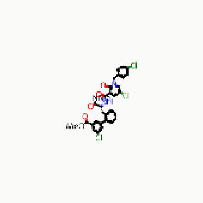 CNC(=O)[C@@H](Cc1ccccc1-c1cc(Cl)cc(C(=O)OC)c1)NC(=O)c1cc(Cl)cn(Cc2ccc(Cl)cc2)c1=O